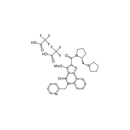 COc1c(C(=O)N2CCC[C@H]2CN2CCCC2)sc2c1c(=O)n(Cc1ccccn1)c1ccccc21.O=C(O)C(F)(F)F.O=C(O)C(F)(F)F